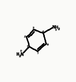 NC1C=CC(N)C=C1